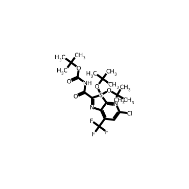 CC(C)(C)OC(=O)NC(=O)C1=Nc2c(C(F)(F)F)cc(Cl)nc2S1(OC(C)(C)C)OC(C)(C)C